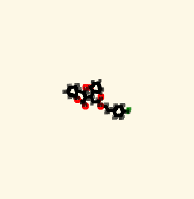 O=C(CC(c1ccccc1)c1c(O)c2ccccc2oc1=O)OCCc1ccc(F)cc1